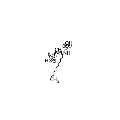 CCCCCCCCCCCC(=O)NCCS(=O)(=O)O.CNCCS(=O)(=O)O.N